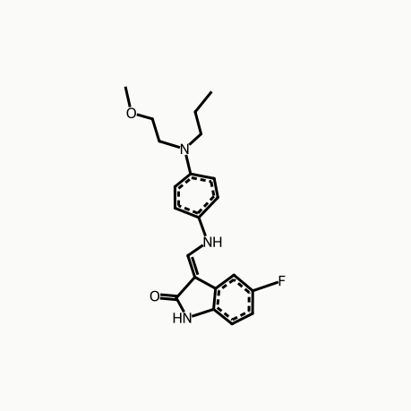 CCCN(CCOC)c1ccc(N/C=C2/C(=O)Nc3ccc(F)cc32)cc1